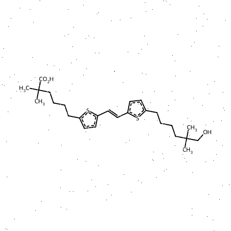 CC(C)(CO)CCCCc1ccc(/C=C/c2ccc(CCCCC(C)(C)C(=O)O)s2)s1